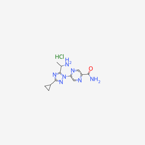 CC(N)c1nc(C2CC2)nn1-c1cnc(C(N)=O)cn1.Cl